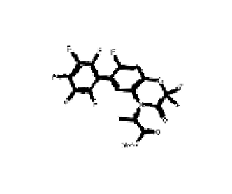 COC(=O)C(C)N1C(=O)C(F)(F)Oc2cc(F)c(-c3c(F)c(F)c(F)c(F)c3F)cc21